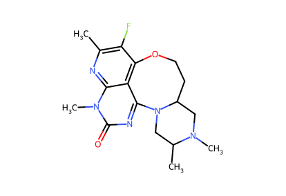 Cc1nc2c3c(nc(=O)n2C)N2CC(C)N(C)CC2CCOc3c1F